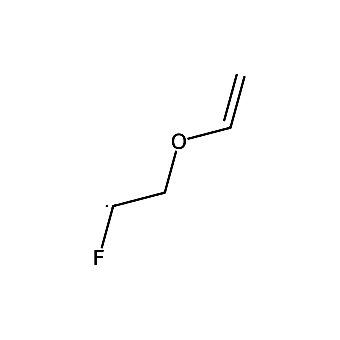 C=COC[CH]F